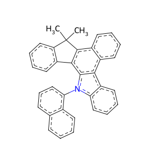 CC1(C)c2ccccc2-c2c1c1ccccc1c1c3ccccc3n(-c3cccc4ccccc34)c21